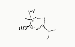 CC(C)C1=C[C@@H](O)[C@](C)(O)CC1